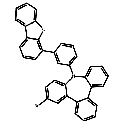 Brc1ccc2c(c1)-c1ccccc1-c1ccccc1N2c1cccc(-c2cccc3c2oc2ccccc23)c1